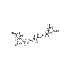 CC(C)(CCCNC(=S)NCCCC(C)(C)C1CC(O)(CC(=O)O)CC(=O)O1)C1C[C](O)CC(=O)O1